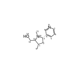 CC1C[C@@H](c2cccnc2)N(C)C1CO